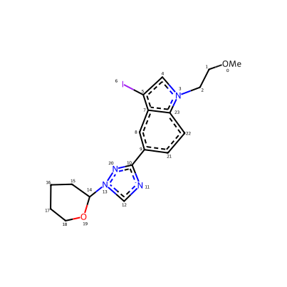 COCCn1cc(I)c2cc(-c3ncn(C4CCCCO4)n3)ccc21